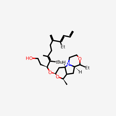 C=C/C=C(\CC)C(=C)CC/C(C)=C(/[C@H](CCO)O[C@H]1C[C@@H]2C(C[C@@H]3C(CC)OCCN32)[C@@H](C)O1)C(C)(C)C